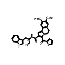 COc1cc2c(cc1OC(C)C)-c1cc(C(=O)N[C@@H](CO)Cc3c[nH]c4ccccc34)c(C(=O)c3cccs3)n1CC2